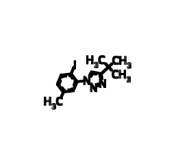 Cc1ccc(I)c(-n2cc(C(C)(C)C)nn2)c1